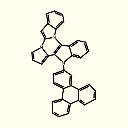 c1ccc2c(c1)cc1n3cccc3c3c(c4ccccc4n3-c3ccc4c5ccccc5c5ccccc5c4c3)n21